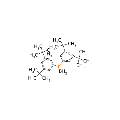 BP(c1cc(C(C)(C)C)cc(C(C)(C)C)c1)c1cc(C(C)(C)C)cc(C(C)(C)C)c1